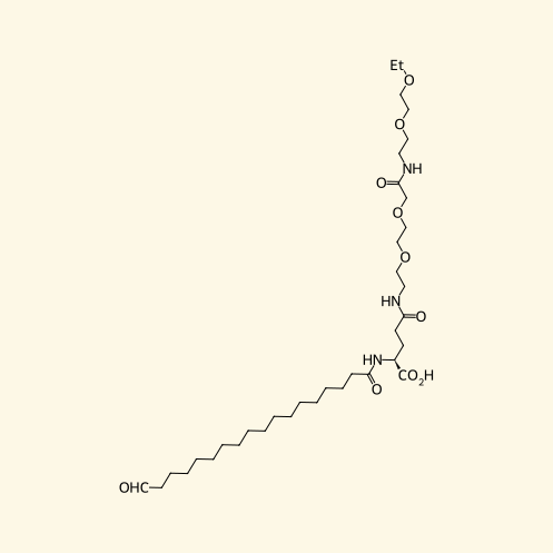 CCOCCOCCNC(=O)COCCOCCNC(=O)CC[C@H](NC(=O)CCCCCCCCCCCCCCCCC=O)C(=O)O